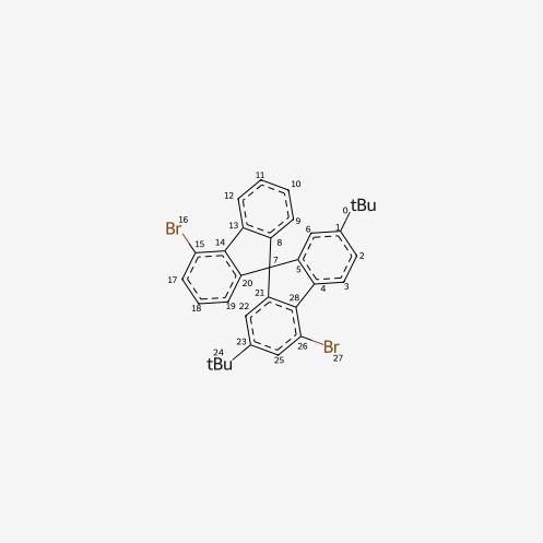 CC(C)(C)c1ccc2c(c1)C1(c3ccccc3-c3c(Br)cccc31)c1cc(C(C)(C)C)cc(Br)c1-2